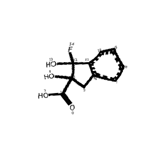 O=C(O)C1(O)Cc2ccccc2C1(O)F